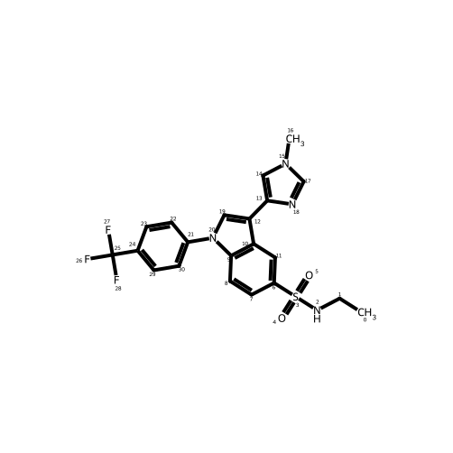 CCNS(=O)(=O)c1ccc2c(c1)c(-c1cn(C)cn1)cn2-c1ccc(C(F)(F)F)cc1